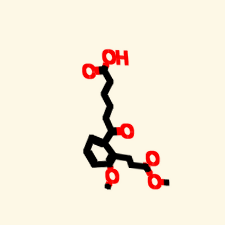 COC(=O)CCc1c(OC)cccc1C(=O)CCCCC(=O)O